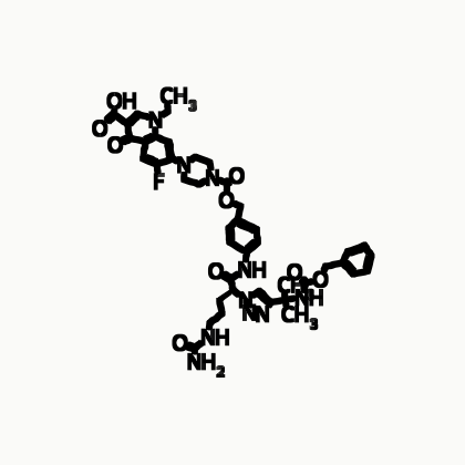 CCn1cc(C(=O)O)c(=O)c2cc(F)c(N3CCN(C(=O)OCc4ccc(NC(=O)[C@H](CCCNC(N)=O)n5cc(C(C)(C)NC(=O)OCc6ccccc6)nn5)cc4)CC3)cc21